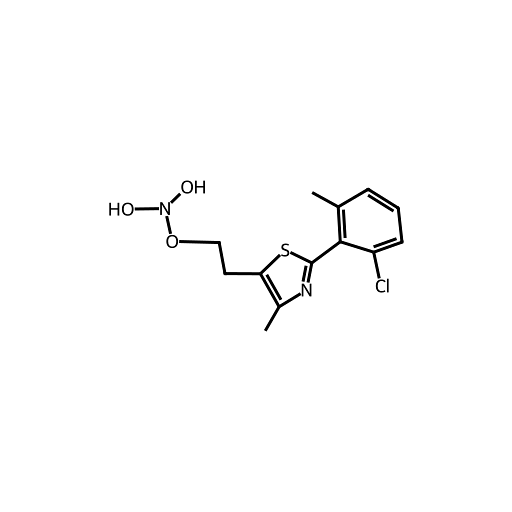 Cc1cccc(Cl)c1-c1nc(C)c(CCON(O)O)s1